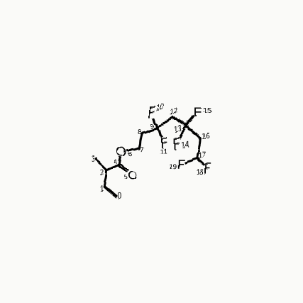 CCC(C)C(=O)OCCC(F)(F)CC(F)(F)CC(F)F